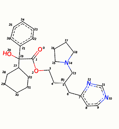 O=C(OCC[C@@H](Cc1ccncn1)CN1CCCC1)C(O)(c1ccccc1)C1CCCCC1